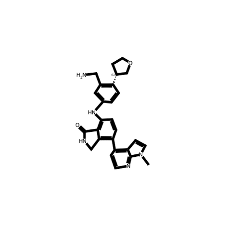 Cn1ccc2c(-c3ccc(Nc4ccc([C@@H]5CCOC5)c(CN)c4)c4c3CNC4=O)ccnc21